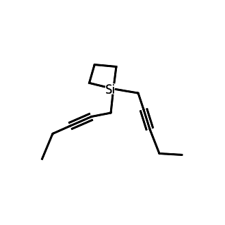 CCC#CC[Si]1(CC#CCC)CCC1